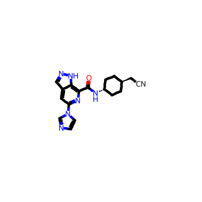 N#CC[C@H]1CC[C@H](NC(=O)c2nc(-n3ccnc3)cc3cn[nH]c23)CC1